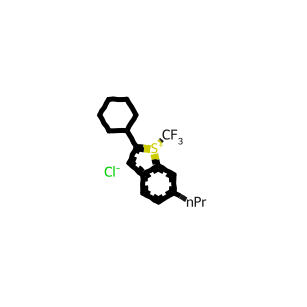 CCCc1ccc2cc(C3CCCCC3)[s+](C(F)(F)F)c2c1.[Cl-]